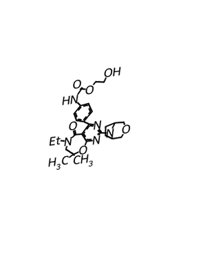 CCN1CC(C)(C)Oc2nc(N3C4CCC3COC4)nc(-c3ccc(NC(=O)OCCO)cc3)c2C1=O